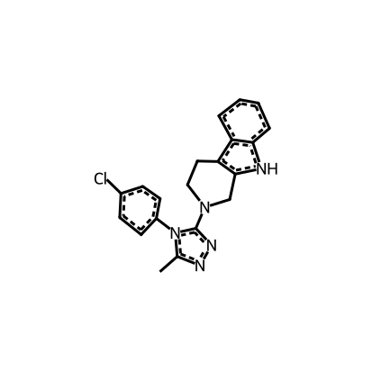 Cc1nnc(N2CCc3c([nH]c4ccccc34)C2)n1-c1ccc(Cl)cc1